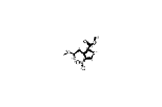 COC(=O)Cc1c([N+](=O)[O-])csc1C(=O)OC